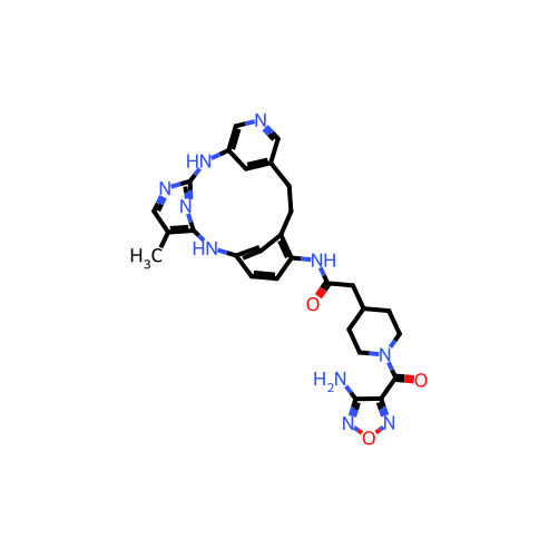 Cc1cnc2nc1Nc1ccc(NC(=O)CC3CCN(C(=O)c4nonc4N)CC3)c(c1)CCc1cncc(c1)N2